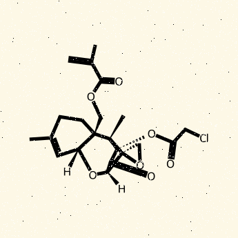 C=C(C)C(=O)OC[C@]12CCC(C)=C[C@H]1O[C@@H]1C(=O)[C@@H](OC(=O)CCl)[C@@]2(C)[C@]12CO2